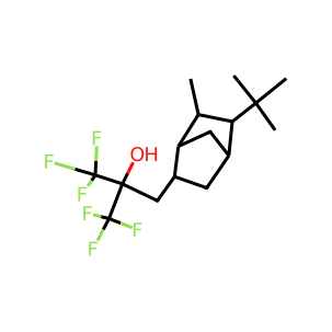 CC1C2CC(CC2CC(O)(C(F)(F)F)C(F)(F)F)C1C(C)(C)C